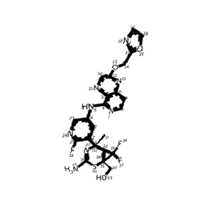 C[C@]1(c2cc(Nc3nccc4nc(OCc5ncco5)cnc34)cnc2F)N=C(N)S[C@]2(CO)[C@@H]1C2(F)F